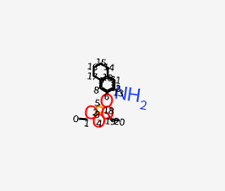 CCOP(=O)(COc1cc2c(cc1N)CCCC2)OCC